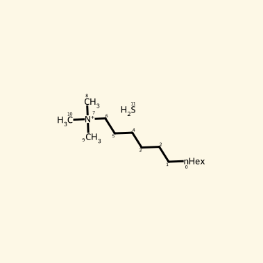 CCCCCCCCCCCC[N+](C)(C)C.S